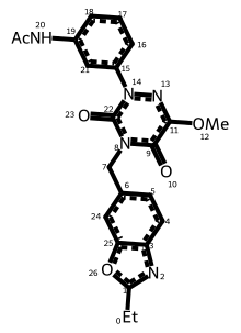 CCc1nc2ccc(Cn3c(=O)c(OC)nn(-c4cccc(NC(C)=O)c4)c3=O)cc2o1